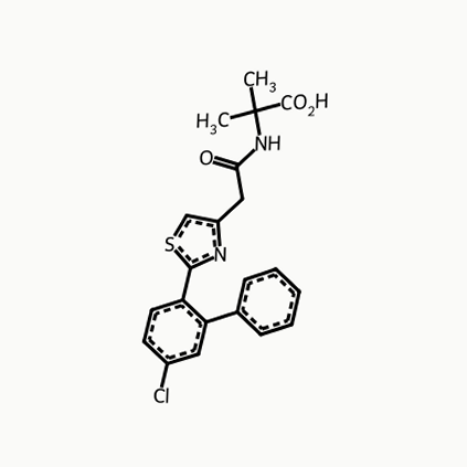 CC(C)(NC(=O)Cc1csc(-c2ccc(Cl)cc2-c2ccccc2)n1)C(=O)O